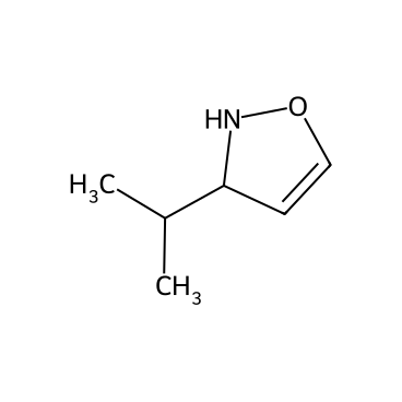 CC(C)C1C=CON1